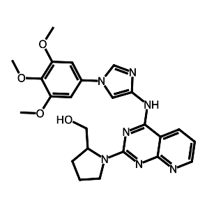 COc1cc(-n2cnc(Nc3nc(N4CCCC4CO)nc4ncccc34)c2)cc(OC)c1OC